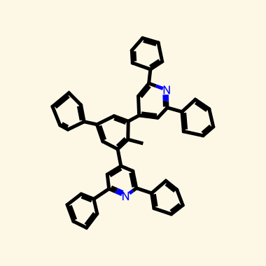 Cc1c(-c2cc(-c3ccccc3)nc(-c3ccccc3)c2)cc(-c2ccccc2)cc1-c1cc(-c2ccccc2)nc(-c2ccccc2)c1